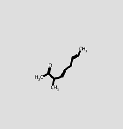 CC=CCC=CC(C)C(C)=O